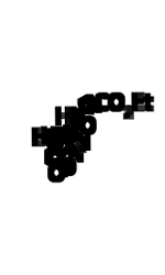 CCOC(=O)N1CCC(NC(=O)c2c[nH]c3c(-c4c(OCC)ccc5c4OCO5)ncnc23)C1